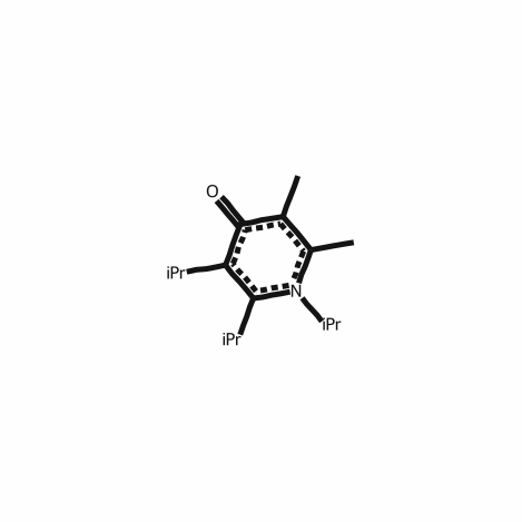 Cc1c(C)n(C(C)C)c(C(C)C)c(C(C)C)c1=O